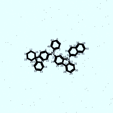 c1ccc(N(c2ccc(C3(c4ccccc4)CCCCC3)cc2)c2ccc3c4ccccc4n(-c4ccc5ccccc5c4)c3c2)cc1